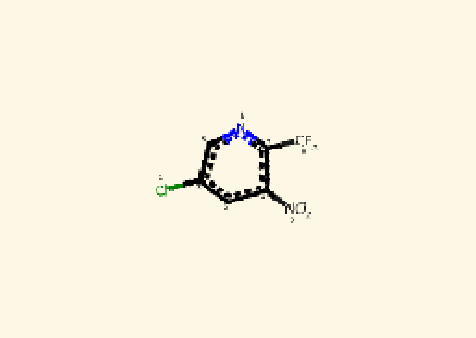 O=[N+]([O-])c1cc(Cl)cnc1C(F)(F)F